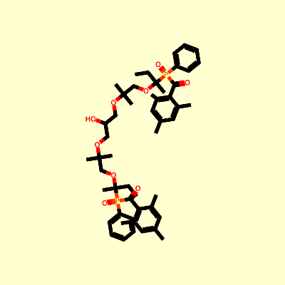 CCC(C)(OCC(C)(C)OCC(O)COC(C)(C)COC(C)(CC)P(=O)(C(=O)c1c(C)cc(C)cc1C)c1ccccc1)P(=O)(C(=O)c1c(C)cc(C)cc1C)c1ccccc1